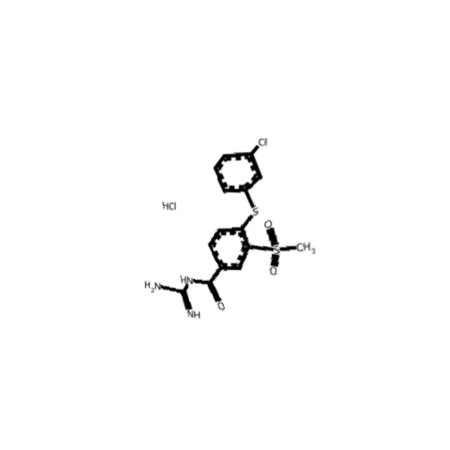 CS(=O)(=O)c1cc(C(=O)NC(=N)N)ccc1Sc1cccc(Cl)c1.Cl